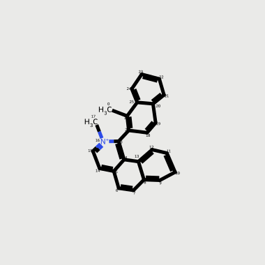 Cc1c(-c2c3c(ccc4ccccc43)cc[n+]2C)ccc2ccccc12